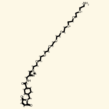 NCCOCCOCCOCCOCCOCCOCCOCCOCCn1cc(CNC(=O)C2CCC(CN3C(=O)C=CC3=O)CC2)nn1